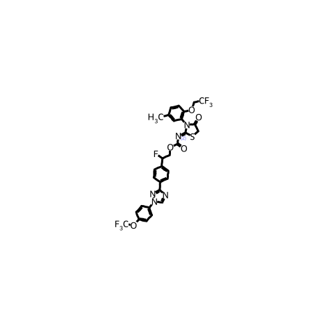 Cc1ccc(OCC(F)(F)F)c(N2C(=O)CS/C2=N\C(=O)OCC(F)c2ccc(-c3ncn(-c4ccc(OC(F)(F)F)cc4)n3)cc2)c1